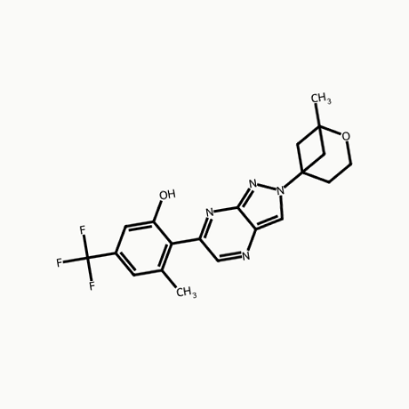 Cc1cc(C(F)(F)F)cc(O)c1-c1cnc2cn(C34CCOC(C)(C3)C4)nc2n1